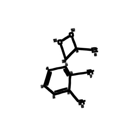 CC(C)c1ccccc1C(C)C.CCC1COO1